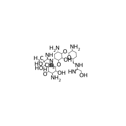 CC(C)(O)C(=N)N[C@@H]1C[C@H](N)C(O[C@H]2O[C@H](CNC(=N)CO)CCC2N)C(O)C1O[C@H]1OC(CO)C(O)[C@H](N)C1O